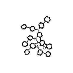 c1ccc(-c2ccc(N(c3ccc(-c4ccccc4)cc3)c3ccc4c(c3)N(c3cccc(-c5ccccc5)c3)B3c5ccc(-c6ccccc6)cc5N(c5cccc(-c6ccccc6)c5)c5c3c-4cc3c5oc4ccccc43)cc2)cc1